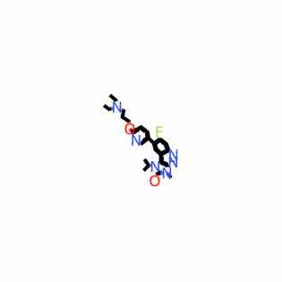 CCN(CC)CCCOc1ccc(-c2cc3c(cc2F)nnc2c3n(C(C)C)c(=O)n2C)cn1